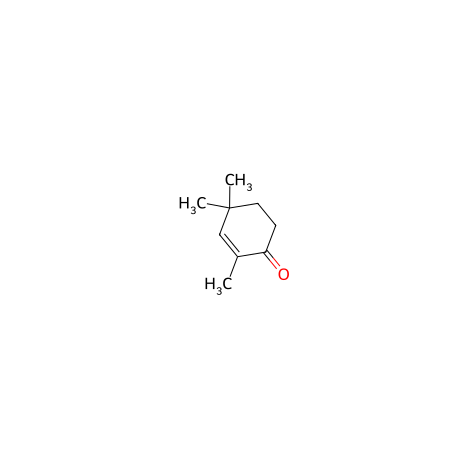 CC1=CC(C)(C)CCC1=O